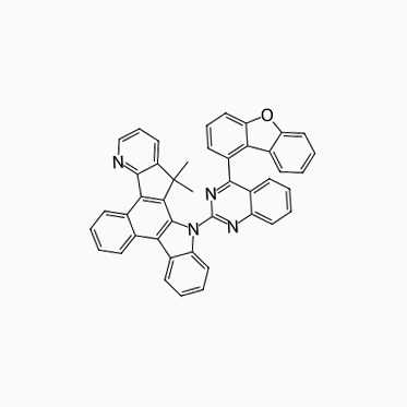 CC1(C)c2cccnc2-c2c1c1c(c3ccccc23)c2ccccc2n1-c1nc(-c2cccc3oc4ccccc4c23)c2ccccc2n1